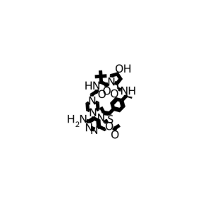 CC(=O)OCc1cc(N2CCN(CC(=O)N[C@H](C(=O)N3C[C@H](O)C[C@H]3C(=O)N[C@@H](C)c3ccc(-c4scnc4C)cc3)C(C)(C)C)CC2)c(N)nn1